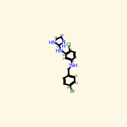 Clc1ccc(NCc2ccc(Br)cc2)cc1NC1NCCN1